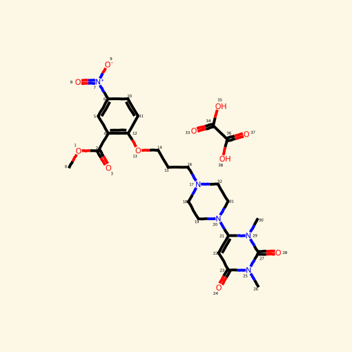 COC(=O)c1cc([N+](=O)[O-])ccc1OCCCN1CCN(c2cc(=O)n(C)c(=O)n2C)CC1.O=C(O)C(=O)O